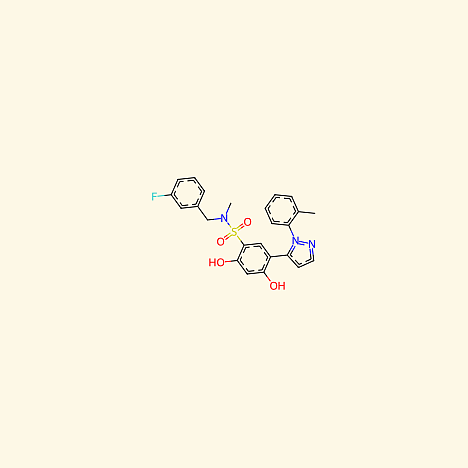 Cc1ccccc1-n1nccc1-c1cc(S(=O)(=O)N(C)Cc2cccc(F)c2)c(O)cc1O